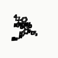 CCC(C)CNCc1cc(C(=O)Nc2cccc(C3(C4=[N+]=CN4C)CC4(CC4)C3)c2)c(=O)n(CC(F)(F)F)c1